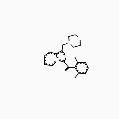 O=C(c1c(Cl)cccc1Cl)c1nc(CN2CCOCC2)c2ccccn12